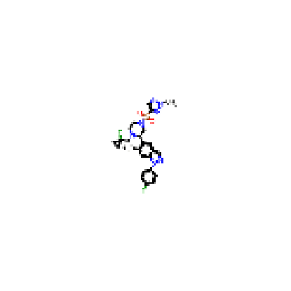 Cc1cc2c(cnn2-c2ccc(F)cc2)cc1C1CN(S(=O)(=O)c2cnn(C)n2)CCN1CC1(F)CC1